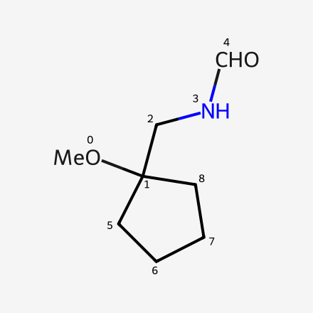 COC1(CNC=O)CCCC1